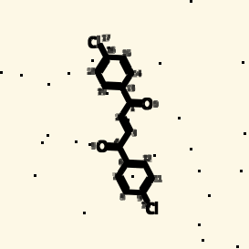 O=C(C=CC(=O)c1ccc(Cl)cc1)c1ccc(Cl)cc1